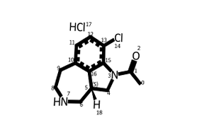 CC(=O)N1C[C@@H]2CNCCc3ccc(Cl)c1c32.Cl